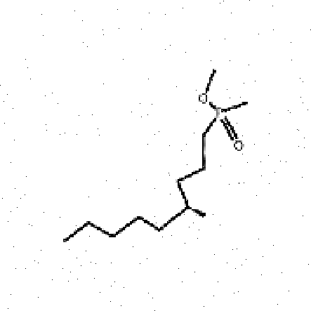 CCCCC[C@H](C)CCCP(C)(=O)OC